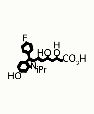 CC(C)n1c(/C=C/[C@@H](O)C[C@@H](O)CC(=O)O)c(-c2ccc(F)cc2)c2ccc(O)cc21